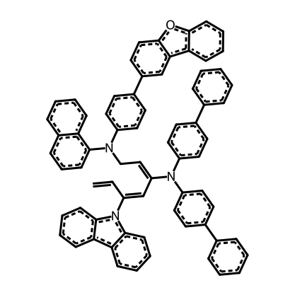 C=C/C(=C\C(=C/CN(c1ccc(-c2ccc3oc4ccccc4c3c2)cc1)c1cccc2ccccc12)N(c1ccc(-c2ccccc2)cc1)c1ccc(-c2ccccc2)cc1)n1c2ccccc2c2ccccc21